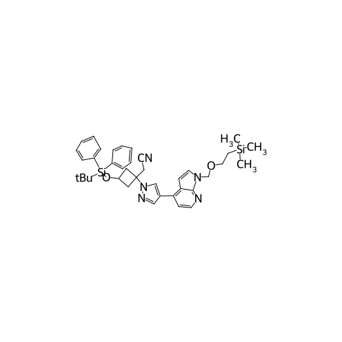 CC(C)(C)[Si](OC1CC(CC#N)(n2cc(-c3ccnc4c3ccn4COCC[Si](C)(C)C)cn2)C1)(c1ccccc1)c1ccccc1